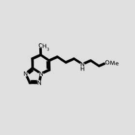 COCCNCCCC1=Cn2ncnc2CC1C